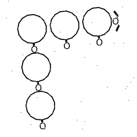 C=COC=C.O=C1CCCCCCCCCCCCCC1.O=C1CCCCCCCCCCCCCC1.O=C1CCCCCCCCCCCCCC1.O=C1CCCCCCCCCCCCCC1.O=C1CCCCCCCCCCCCCC1